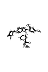 CC(C)(C)OC(=O)N1CCC[C@@H](Cn2c(-c3ccc([N+](=O)[O-])cc3Cl)nc3cnc(NCc4ccc(F)c(F)c4)nc32)C1